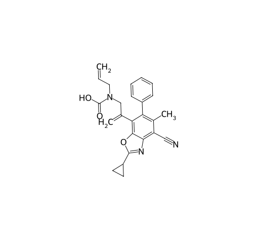 C=CCN(CC(=C)c1c(-c2ccccc2)c(C)c(C#N)c2nc(C3CC3)oc12)C(=O)O